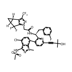 Cn1nc(NS(C)(=O)=O)c2c(Cl)ccc(-c3ccc(C#CC(C)(C)O)nc3[C@H](Cc3cccc(F)c3)NC(=O)Cn3nc(C(F)(F)F)c4c3C(F)(F)[C@@H]3C[C@H]43)c21